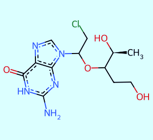 C[C@H](O)C(CCO)OC(CCl)n1cnc2c(=O)[nH]c(N)nc21